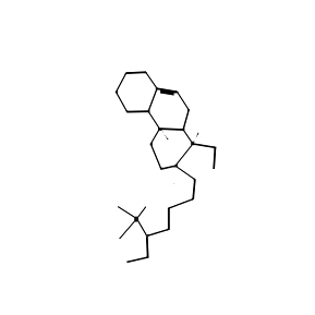 CCC(CC[C@@H](C)[C@H]1CC[C@H]2[C@@H]3CC=C4C[C@@H](O)CC[C@]4(C)[C@H]3CC[C@]12C)C(C)(C)C